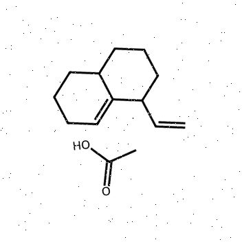 C=CC1CCCC2CCCC=C12.CC(=O)O